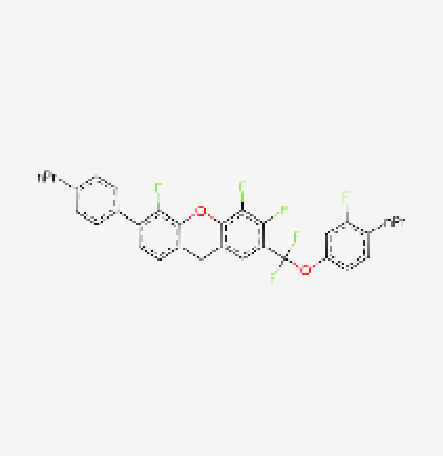 CCCc1ccc(-c2ccc3c(c2F)Oc2c(cc(C(F)(F)Oc4ccc(CCC)c(F)c4)c(F)c2F)C3)cc1